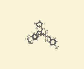 O=C(NCc1ccc(Br)cc1)NC(Cc1ccc2c(c1)OCCO2)CN1CCCC1